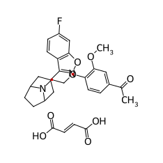 COc1cc(C(C)=O)ccc1OCCN1C2CCC1CC(c1noc3cc(F)ccc13)C2.O=C(O)C=CC(=O)O